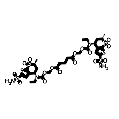 CCN(C(=O)OCOC(=O)CCCC(=O)OCOC(=O)N(CC)[C@H]1C[C@H](C)S(=O)(=O)c2sc(S(N)(=O)=O)cc21)[C@H]1C[C@H](C)S(=O)(=O)c2sc(S(N)(=O)=O)cc21